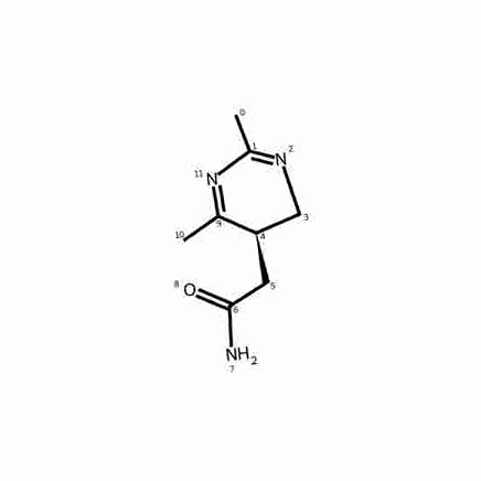 CC1=NC[C@@H](CC(N)=O)C(C)=N1